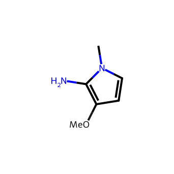 COc1ccn(C)c1N